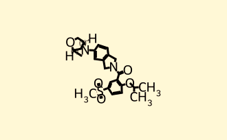 CC(C)Oc1ccc(S(C)(=O)=O)cc1C(=O)N1Cc2ccc(N3C[C@H]4C[C@H]3CO4)cc2C1